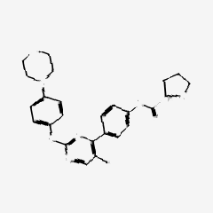 O=C(Nc1ccc(-c2nc(Nc3ccc(N4CCOCC4)cc3)ncc2I)cc1)[C@H]1CCCN1